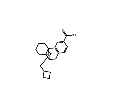 NC(=O)c1ccc2c(c1)C13CCCCC1(O)C(C2)N(CC1CCC1)CC3